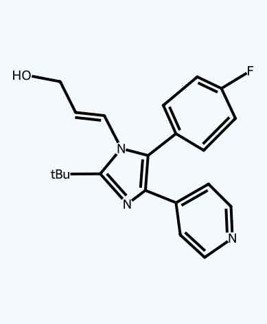 CC(C)(C)c1nc(-c2ccncc2)c(-c2ccc(F)cc2)n1C=CCO